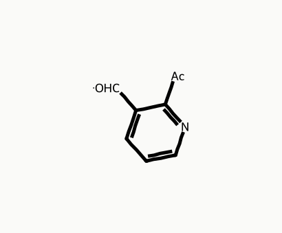 CC(=O)c1ncccc1[C]=O